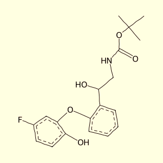 CC(C)(C)OC(=O)NCC(O)c1ccccc1Oc1cc(F)ccc1O